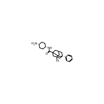 CC[C@]12CC3CC(C(=O)N[C@H]4CC[C@@H](N)CC4)(C1)C[C@@](c1ccccc1)(C3)C2